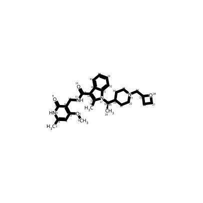 COc1cc(C)[nH]c(=O)c1CNC(=O)c1c(C)n([C@H](C)C2CCN(CC3CCO3)CC2)c2ccccc12